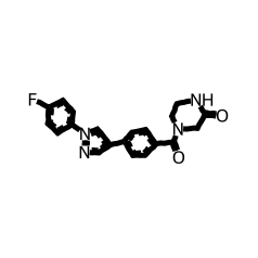 O=C1CN(C(=O)c2ccc(-c3cnn(-c4ccc(F)cc4)c3)cc2)CCN1